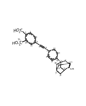 O=C(O)c1ccc(C#Cc2ccc(C34CC5CC(CC(C5)C3)C4)cc2)cc1C(=O)O